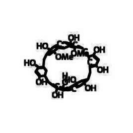 COC1=CC2CC3=C(O)C=C(O)C(C3)CC3=C(O)C4=CC5=C(O)C=C(CC6=C(O)C=C(O)C(C6)CC6CC(O)C7CC(C1=CC7=C6OC)C2O)C(O)C5CC4C(O)C3